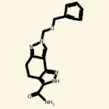 NC(=O)c1[nH]nc2c1CCc1nn(COCc3ccccc3)cc1-2